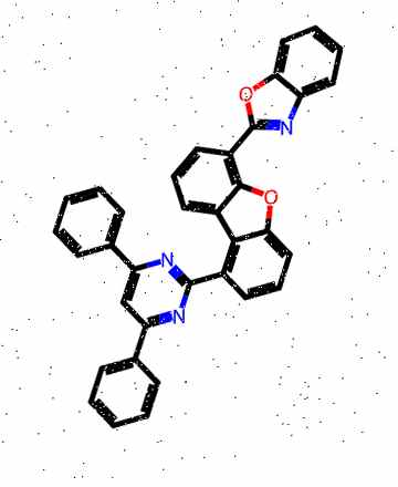 c1ccc(-c2cc(-c3ccccc3)nc(-c3cccc4oc5c(-c6nc7ccccc7o6)cccc5c34)n2)cc1